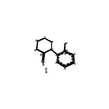 C[n+]1ccccc1C1CCCCC1=O.[I-]